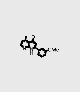 COc1cccc(-c2cc(=O)c3c(C)ccnc3[nH]2)c1